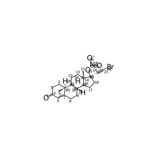 C[C@]12CCC(=O)C=C1CC[C@@H]1[C@@H]2CC[C@@]2(C)[C@H]1CC[C@]2(C#CBr)O[N+](=O)[O-]